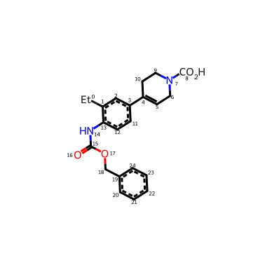 CCc1cc(C2=CCN(C(=O)O)CC2)ccc1NC(=O)OCc1ccccc1